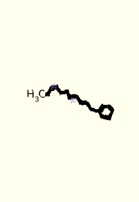 CC/C=C\CC/C=C/C=CCc1ccccc1